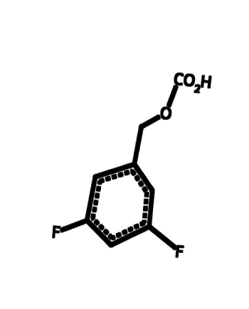 O=C(O)OCc1cc(F)cc(F)c1